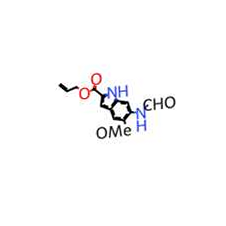 C=CCOC(=O)c1cc2cc(OC)c(NC=O)cc2[nH]1